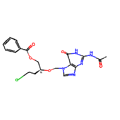 CC(=O)Nc1nc2ncn(CO[C@@H](CCCl)COC(=O)c3ccccc3)c2c(=O)[nH]1